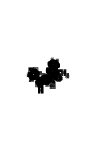 CC(c1ccccc1)C1C(=O)Nc2cc3[nH]nc(-c4ccncc4)c3cc2N1C